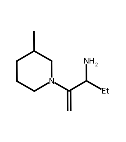 C=C(C(N)CC)N1CCCC(C)C1